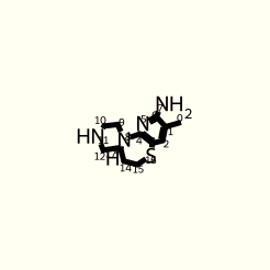 Cc1cc2c(nc1N)N1CCNC[C@H]1CCS2